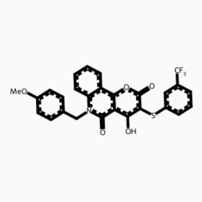 COc1ccc(Cn2c(=O)c3c(O)c(Sc4cccc(C(F)(F)F)c4)c(=O)oc3c3ccccc32)cc1